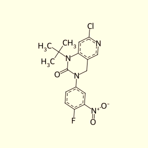 CC(C)(C)N1C(=O)N(c2ccc(F)c([N+](=O)[O-])c2)Cc2cnc(Cl)cc21